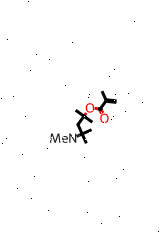 C=C(C)C(=O)OC(C)(C)CC(C)(C)NC